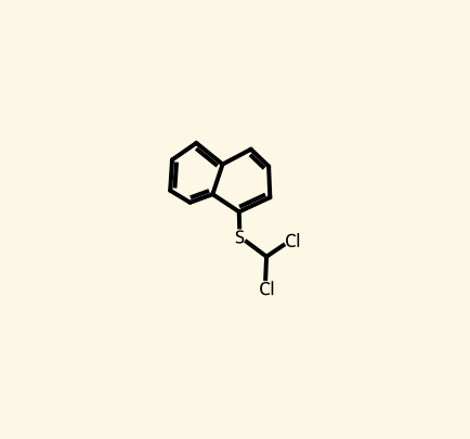 ClC(Cl)Sc1cccc2ccccc12